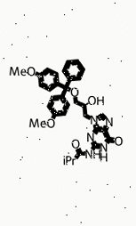 COc1ccc(C(OC[C@H](O)Cn2cnc3c(=O)[nH]c(NC(=O)C(C)C)nc32)(c2ccccc2)c2ccc(OC)cc2)cc1